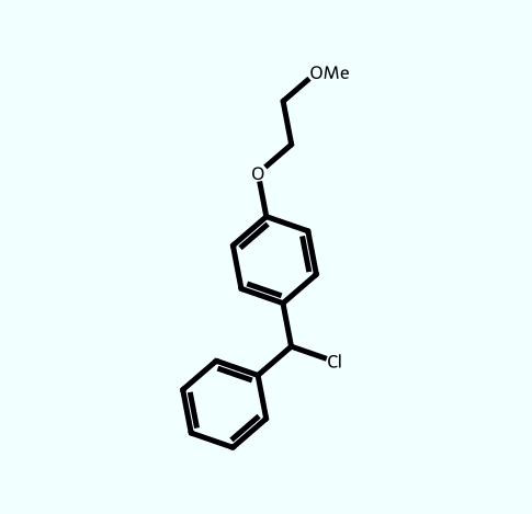 COCCOc1ccc(C(Cl)c2ccccc2)cc1